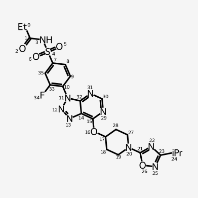 CCC(=O)NS(=O)(=O)c1ccc(-n2nnc3c(OC4CCN(c5nc(C(C)C)no5)CC4)ncnc32)c(F)c1